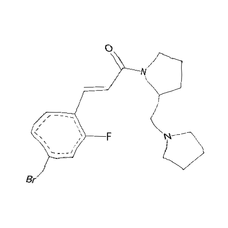 O=C(C=Cc1ccc(Br)cc1F)N1CCCC1CN1CCCC1